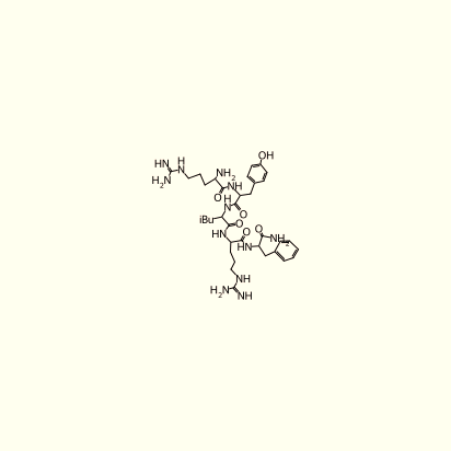 CCC(C)C(NC(=O)C(Cc1ccc(O)cc1)NC(=O)C(N)CCCNC(=N)N)C(=O)NC(CCCNC(=N)N)C(=O)NC(Cc1ccccc1)C(N)=O